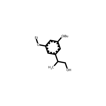 CCOc1cc(OCC(C)C)cc([C](C)CO)c1